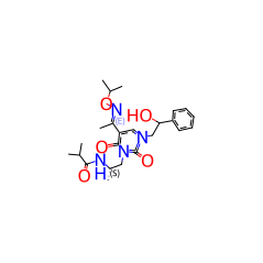 C/C(=N\OC(C)C)c1cn(CC(O)c2ccccc2)c(=O)n(C[C@H](C)NC(=O)C(C)C)c1=O